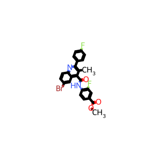 COC(=O)c1ccc(NC(=O)c2c(C)c(-c3ccc(F)cc3)nc3ccc(Br)cc23)c(F)c1